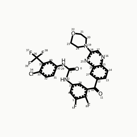 O=C(Nc1cc(F)c(F)c(C(=O)c2ccc3ncc(N4CCOCC4)nc3c2)c1)Nc1ccc(Cl)c(C(F)(F)F)c1